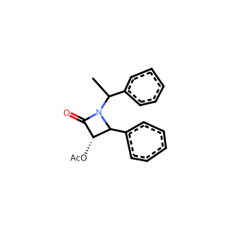 CC(=O)O[C@@H]1C(=O)N(C(C)c2ccccc2)C1c1ccccc1